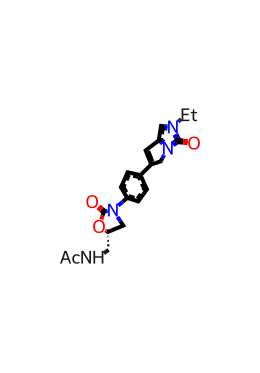 CCn1cc2n(c1=O)CC(c1ccc(N3C[C@H](CNC(C)=O)OC3=O)cc1)=C2